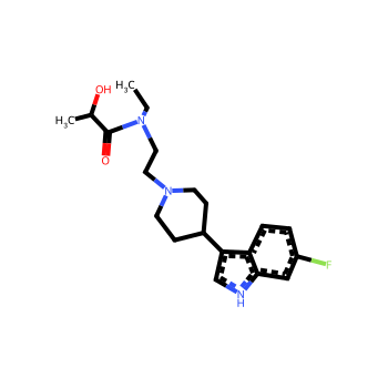 CCN(CCN1CCC(c2c[nH]c3cc(F)ccc23)CC1)C(=O)C(C)O